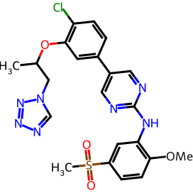 COc1ccc(S(C)(=O)=O)cc1Nc1ncc(-c2ccc(Cl)c(OC(C)Cn3cnnn3)c2)cn1